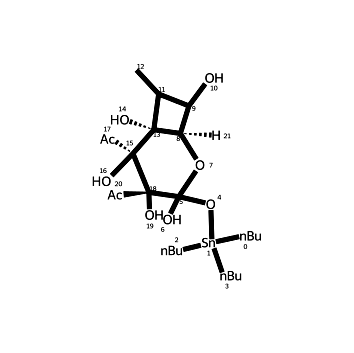 CCC[CH2][Sn]([CH2]CCC)([CH2]CCC)[O]C1(O)O[C@@H]2C(O)C(C)[C@]2(O)[C@@](O)(C(C)=O)[C@]1(O)C(C)=O